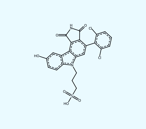 O=C1NC(=O)c2c1c(-c1c(Cl)cccc1Cl)cc1c2c2cc(O)ccc2n1CCCS(=O)(=O)O